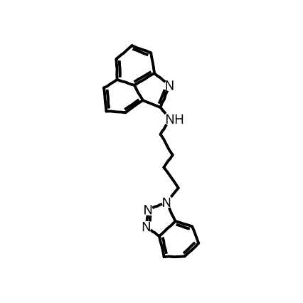 c1cc2c3c(cccc3c1)C(NCCCCn1nnc3ccccc31)=N2